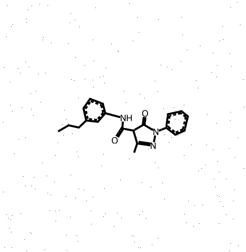 CCCc1cccc(NC(=O)C2C(=O)N(c3ccccc3)N=C2C)c1